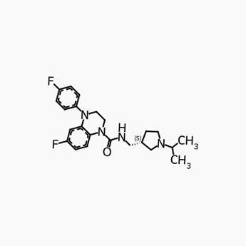 CC(C)N1CC[C@@H](CNC(=O)N2CCN(c3ccc(F)cc3)c3cc(F)ccc32)C1